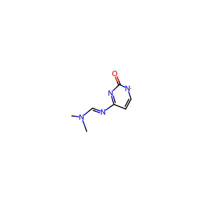 CN(C)C=NC1=NC(=O)[N]C=C1